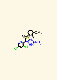 COc1cccc(OC)c1CN(C(=N)N)c1nc(-c2ncc(Cl)cc2Cl)cs1